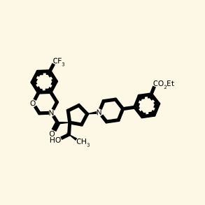 CCOC(=O)c1cccc(C2CCN([C@@H]3CC[C@@](C(=O)N4COc5ccc(C(F)(F)F)cc5C4)([C@@H](C)O)C3)CC2)c1